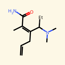 C=CCC(=C(C)C(N)=O)C(CC)N(C)C